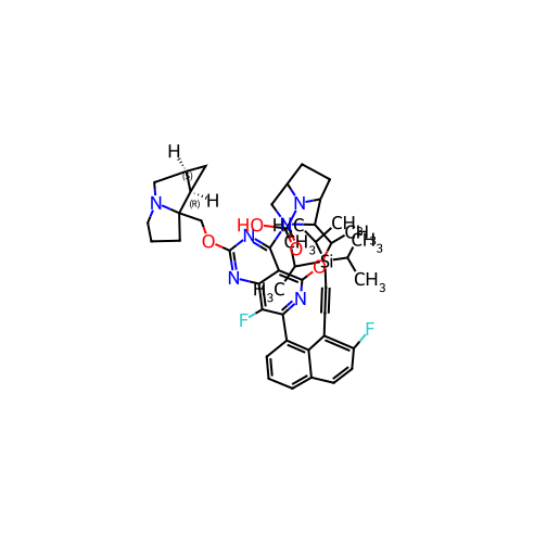 CC1Oc2nc(-c3cccc4ccc(F)c(C#C[Si](C(C)C)(C(C)C)C(C)C)c34)c(F)c3nc(OCC45CCCN4C[C@H]4C[C@H]45)nc(c23)N2CC3CCC(C12)N3C(=O)O